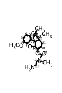 COc1ccc(C)c2c1OC1C(OC(=O)N(C)CCN)=CCC3[C@@H](C)N(C)CC[C@]213